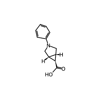 O=C(O)[C@H]1[C@@H]2CN(c3ccccc3)C[C@@H]21